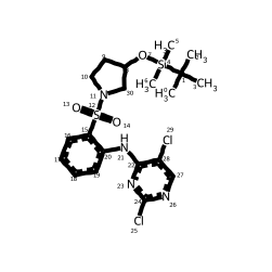 CC(C)(C)[Si](C)(C)OC1CCN(S(=O)(=O)c2ccccc2Nc2nc(Cl)ncc2Cl)C1